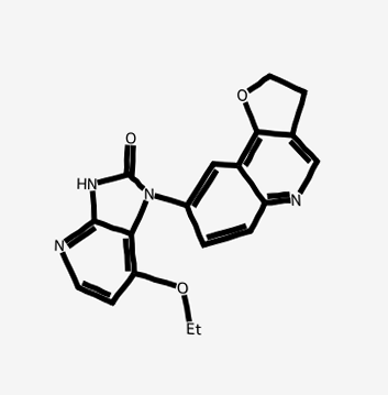 CCOc1ccnc2[nH]c(=O)n(-c3ccc4ncc5c(c4c3)OCC5)c12